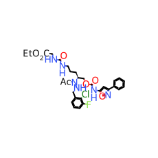 CCOC(=O)CNC(=O)NCCC[C@@H](COC(=O)Nc1cc(-c2ccccc2)no1)N(NCc1cccc(F)c1Cl)C(C)=O